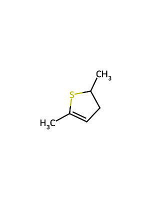 CC1=CCC(C)S1